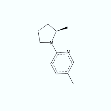 Cc1ccc(N2CCC[C@H]2C)nc1